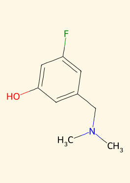 CN(C)Cc1cc(O)cc(F)c1